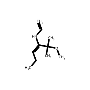 C=CN/C(=C/CC)C(C)(C)OC